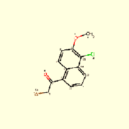 COc1ccc2c(C(=O)CBr)cccc2c1Cl